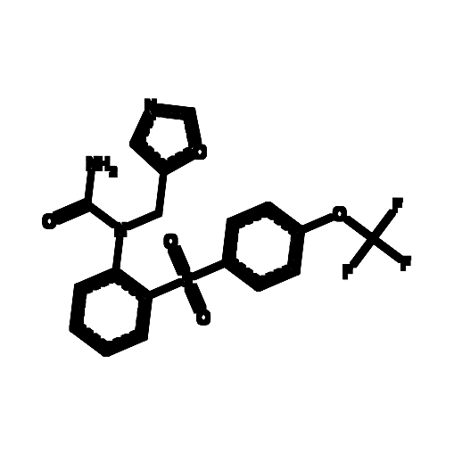 NC(=O)N(Cc1cnco1)c1ccccc1S(=O)(=O)c1ccc(OC(F)(F)F)cc1